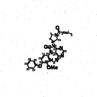 CC#CC(=O)N1CC[C@@H](n2c(=O)n(-c3ccc(Oc4ccccc4)c(OC)c3)c3c(N)ncnc32)C1